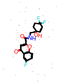 O=C(NCC1(O)CCC(F)(F)CC1)c1cc(=O)c2cc(F)ccc2o1